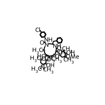 CO[C@]1(C)C[C@H](O[C@H]2[C@H](C)[C@@H](O[C@@H]3O[C@H](C)C[C@H](N(C)C)[C@H]3O)[C@](C)(O)C[C@@H](C)CN(C(=O)Nc3ccc(Cl)cc3)CC(Cc3ccccc3)NC(=O)[C@@H]2C)O[C@@H](C)[C@@H]1O